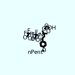 CCCCCOc1ccc(CCC2(N)COP(=O)(O)OC2)cc1.O=C(O)C(F)(F)F.O=C(O)C(F)(F)F